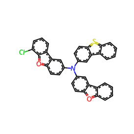 Clc1cccc2c1oc1ccc(N(c3ccc4oc5ccccc5c4c3)c3ccc4sc5ccccc5c4c3)cc12